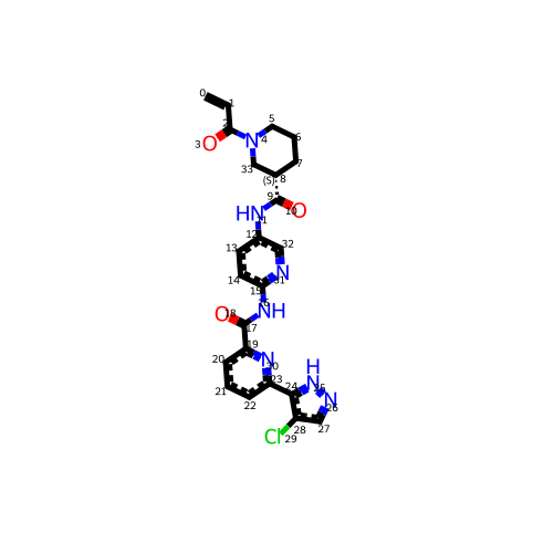 C=CC(=O)N1CCC[C@H](C(=O)Nc2ccc(NC(=O)c3cccc(-c4[nH]ncc4Cl)n3)nc2)C1